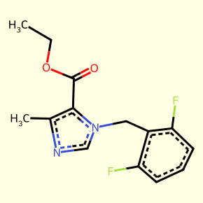 CCOC(=O)c1c(C)ncn1Cc1c(F)cccc1F